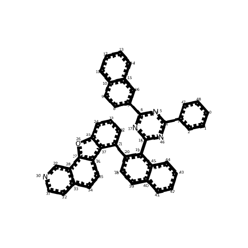 c1ccc(-c2nc(-c3ccc4ccccc4c3)nc(-c3c(-c4cccc5oc6c7cnccc7ccc6c45)ccc4ccccc34)n2)cc1